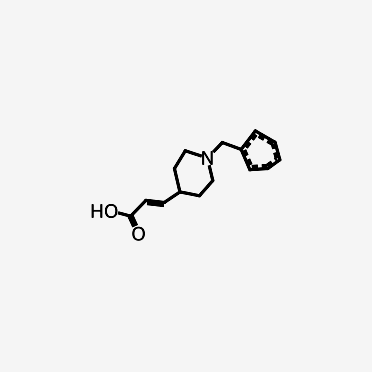 O=C(O)C=CC1CCN(Cc2ccccc2)CC1